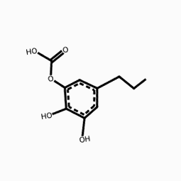 CCCc1cc(O)c(O)c(OC(=O)O)c1